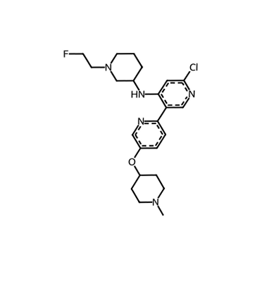 CN1CCC(Oc2ccc(-c3cnc(Cl)cc3NC3CCCN(CCF)C3)nc2)CC1